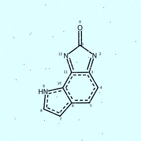 O=C1N=c2ccc3cc[nH]c3c2=N1